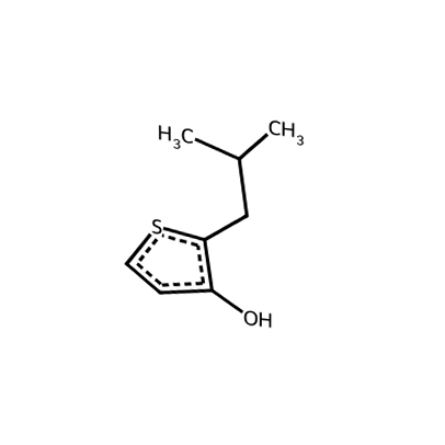 CC(C)Cc1sccc1O